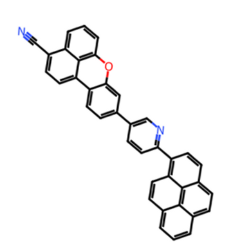 N#Cc1ccc2c3c(cccc13)Oc1cc(-c3ccc(-c4ccc5ccc6cccc7ccc4c5c67)nc3)ccc1-2